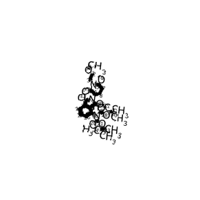 COCCN1C(=O)CCC(N2C(=O)c3cccc(N(C(=O)OC(C)(C)C)C(=O)OC(C)(C)C)c3C2=O)C1=O